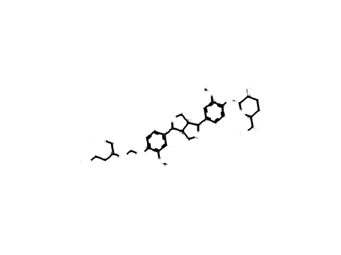 CCCC(CO)OCOc1ccc(C2OCC3C(c4ccc(O[C@@H]5OC(CO)CC[C@@H]5O)c(OC)c4)OCC23)cc1OC